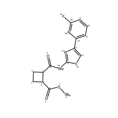 CC(C)(C)OC(=O)N1CCC1C(=O)Nc1nc(-c2cccc(F)n2)cs1